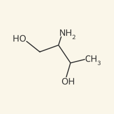 CC(O)C(N)CO